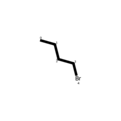 CC[CH]CBr